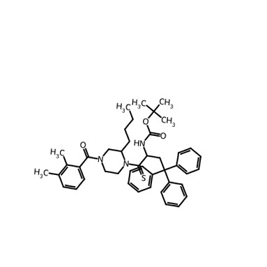 CCCCC1CN(C(=O)c2cccc(C)c2C)CCN1C(=S)C(CC(c1ccccc1)(c1ccccc1)c1ccccc1)NC(=O)OC(C)(C)C